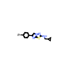 CC(C)c1ccc(-c2cn3nc(NCC4CC4)sc3n2)cc1